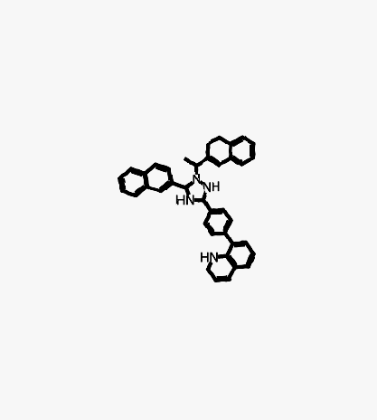 CC(C1=Cc2ccccc2CC1)N1NC(c2ccc(-c3cccc4c3NCC=C4)cc2)NC1c1ccc2ccccc2c1